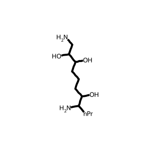 CCCC(N)C(O)CCCC(O)C(O)CN